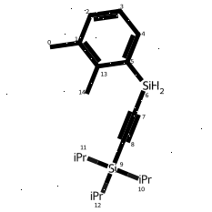 Cc1cccc([SiH2]C#C[Si](C(C)C)(C(C)C)C(C)C)c1C